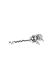 CCCCCCCCCCCCS[C@@H]1OC[C@H]2OC(C)(OC)C(C)(OC)O[C@@H]2[C@H]1O